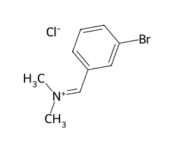 C[N+](C)=Cc1cccc(Br)c1.[Cl-]